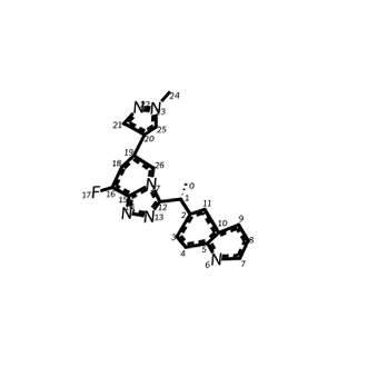 C[C@H](c1ccc2ncccc2c1)c1nnc2c(F)cc(-c3cnn(C)c3)cn12